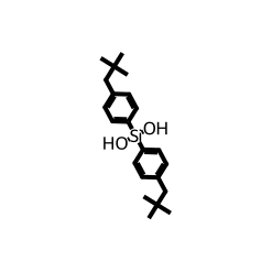 CC(C)(C)Cc1ccc([Si](O)(O)c2ccc(CC(C)(C)C)cc2)cc1